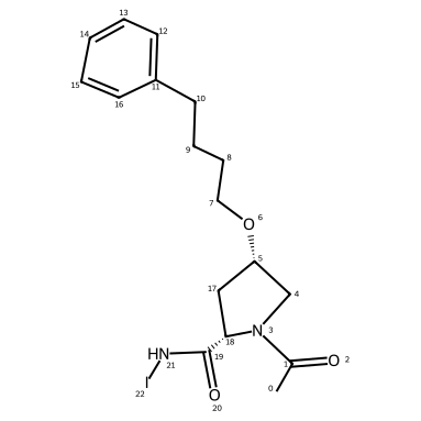 CC(=O)N1C[C@@H](OCCCCc2ccccc2)C[C@H]1C(=O)NI